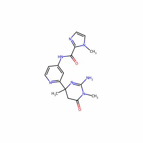 CN1C(=O)CC(C)(c2cc(NC(=O)c3nccn3C)ccn2)N=C1N